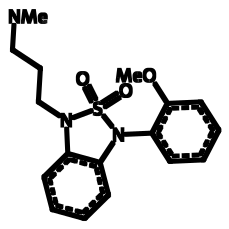 CNCCCN1c2ccccc2N(c2ccccc2OC)S1(=O)=O